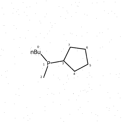 CCCCP(C)C1CCCC1